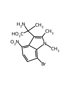 Cc1c(C(C)(N)C(=O)O)c2c([N+](=O)[O-])ccc(Br)c2n1C